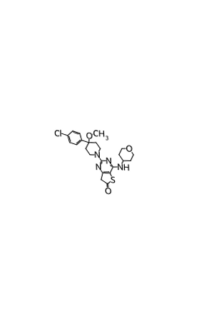 COC1(c2ccc(Cl)cc2)CCN(c2nc3c(c(NC4CCOCC4)n2)SC(=O)C3)CC1